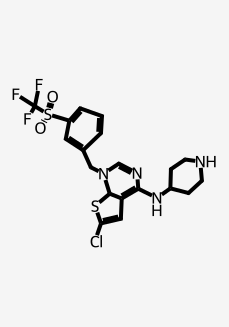 O=S(=O)(c1cccc(CN2C=NC(NC3CCNCC3)=C3C=C(Cl)SC32)c1)C(F)(F)F